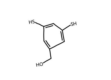 OCc1cc(S)cc(S)c1